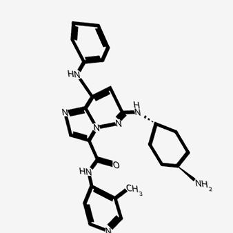 Cc1cnccc1NC(=O)c1cnc2c(Nc3ccccc3)cc(N[C@H]3CC[C@H](N)CC3)nn12